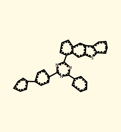 c1ccc(-c2ccc(-c3nc(-c4ccccc4)nc(-c4cccc5cc6c(cc45)sc4ccccc46)n3)cc2)cc1